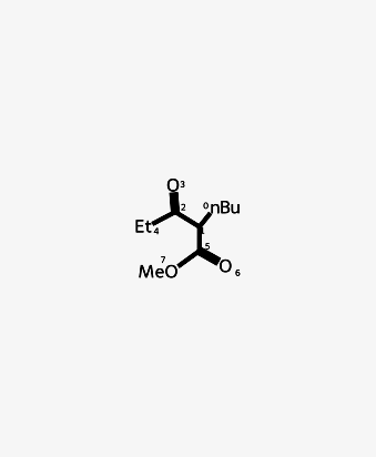 CCCCC(C(=O)CC)C(=O)OC